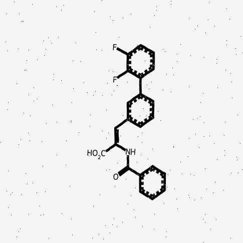 O=C(O)/C(=C/c1cccc(-c2cccc(F)c2F)c1)NC(=O)c1ccccc1